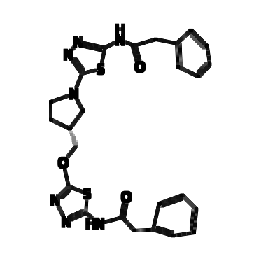 O=C(Cc1ccccc1)Nc1nnc(OC[C@@H]2CCN(c3nnc(NC(=O)Cc4ccccc4)s3)C2)s1